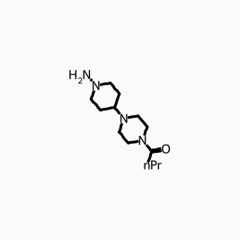 CCCC(=O)N1CCN(C2CCN(N)CC2)CC1